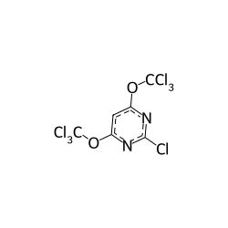 Clc1nc(OC(Cl)(Cl)Cl)cc(OC(Cl)(Cl)Cl)n1